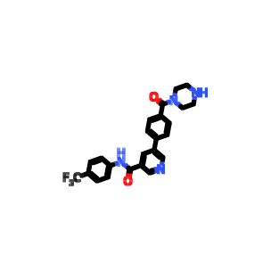 O=C(Nc1ccc(C(F)(F)F)cc1)c1cncc(-c2ccc(C(=O)N3CCNCC3)cc2)c1